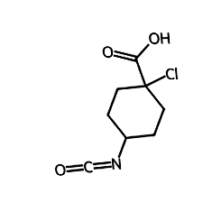 O=C=NC1CCC(Cl)(C(=O)O)CC1